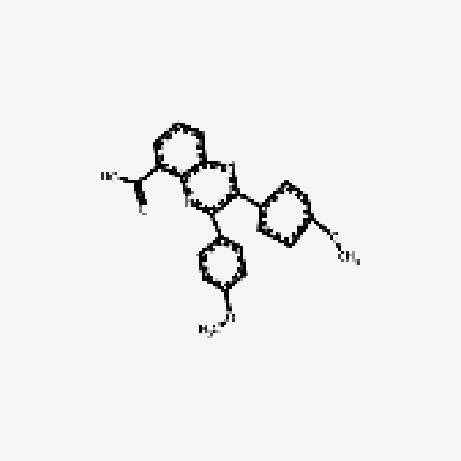 COc1ccc(-c2nc3cccc(C(=O)O)c3nc2-c2ccc(OC)cc2)cc1